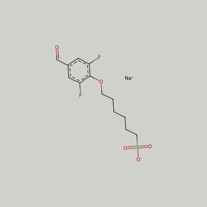 O=Cc1cc(F)c(OCCCCCCS(=O)(=O)[O-])c(F)c1.[Na+]